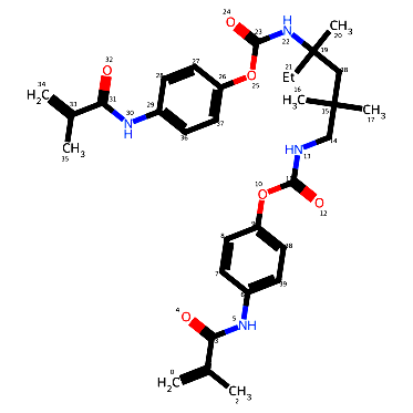 C=C(C)C(=O)Nc1ccc(OC(=O)NCC(C)(C)CC(C)(CC)NC(=O)Oc2ccc(NC(=O)C(=C)C)cc2)cc1